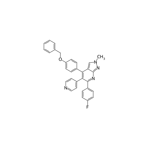 Cn1cc2c(-c3ccc(OCc4ccccc4)cc3)c(-c3ccncc3)c(-c3ccc(F)cc3)nc2n1